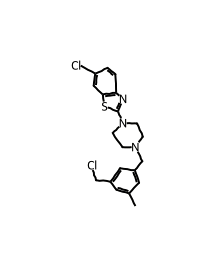 Cc1cc(CCl)cc(CN2CCN(c3nc4ccc(Cl)cc4s3)CC2)c1